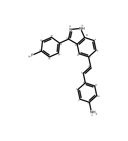 Nc1ccc(C=Cc2ccc3[nH]nc(-c4ccc(F)cc4)c3c2)cc1